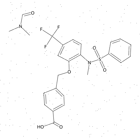 CN(C)C=O.CN(c1ccc(C(F)(F)F)cc1OCc1ccc(C(=O)O)cc1)S(=O)(=O)c1ccccc1